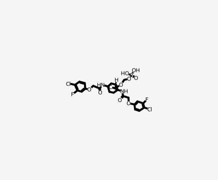 O=C(COc1ccc(Cl)c(F)c1)NC12CCC(NC(=O)COc3ccc(Cl)c(F)c3)(CC1)[C@@H](OCOP(=O)(O)O)C2